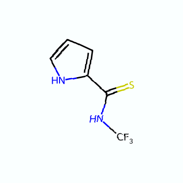 FC(F)(F)NC(=S)c1ccc[nH]1